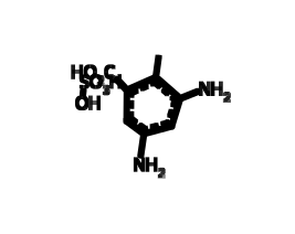 Cc1c(N)cc(N)cc1C(=O)O.O=S(=O)(O)O